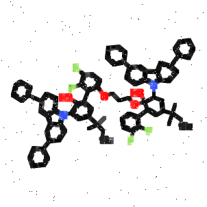 CC(C)(C)CC(C)(C)C1=CC(n2c3ccc(-c4ccccc4)cc3c3cc(-c4ccccc4)ccc32)C(O)(OCCCOc2ccc(F)c(F)c2-c2cc(C(C)(C)CC(C)(C)C)cc(-n3c4ccc(-c5ccccc5)cc4c4cc(-c5ccccc5)ccc43)c2O)C(c2cccc(F)c2F)=C1